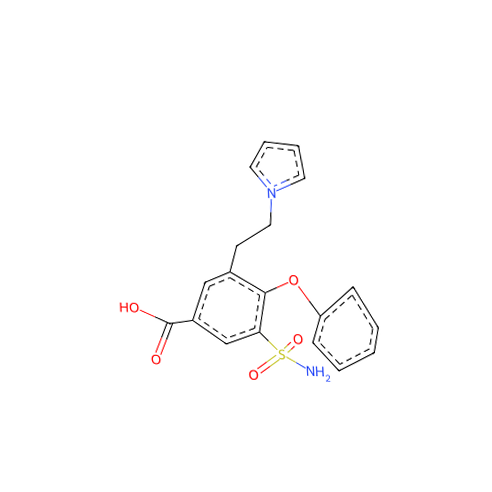 NS(=O)(=O)c1cc(C(=O)O)cc(CCn2cccc2)c1Oc1ccccc1